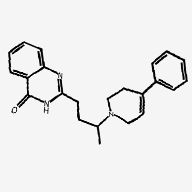 CC(CCc1nc2ccccc2c(=O)[nH]1)N1CC=C(c2ccccc2)CC1